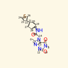 Cc1nc2c(c(=O)n(C)c(=O)n2C)n1CC(=O)Nc1ccc(-c2ccsc2)cc1